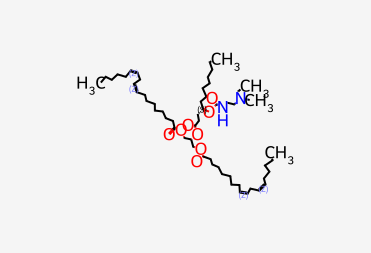 CCCCC/C=C\C/C=C\CCCCCCCC(=O)OCC(COC(=O)CCCCCCC/C=C\C/C=C\CCCCC)OC(=O)CC[C@H](CCCCCCCC)OC(=O)NCCN(C)CC